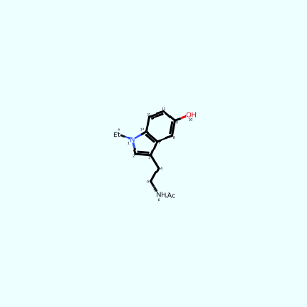 CCn1cc(CCNC(C)=O)c2cc(O)ccc21